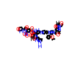 CC(C)Oc1ccccc1[C@@H]1CN([C@@H]2COC(C)(C)c3nc4c(cc32)OC[C@@H]2COCCN42)CCN1C1CC2(CCN(c3ccc(C(=O)NS(=O)(=O)c4cc5c(c([N+](=O)[O-])c4)N[C@H](C4CCOCC4)CO5)c(N4c5cc6cc[nH]c6nc5O[C@H]5COCC[C@@H]54)c3)CC2)C1